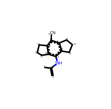 C=C(C)Nc1c2c(c(C#N)c3c1CCC3)CCC2